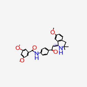 COc1cc(OC)cc(C(=O)Nc2ccc(C(=O)/C=C3\NC(C)(C)Cc4ccc(OC)cc43)cc2)c1